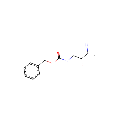 CC[C@@H](N)[C@H](O)CNC(=O)OCc1ccccc1